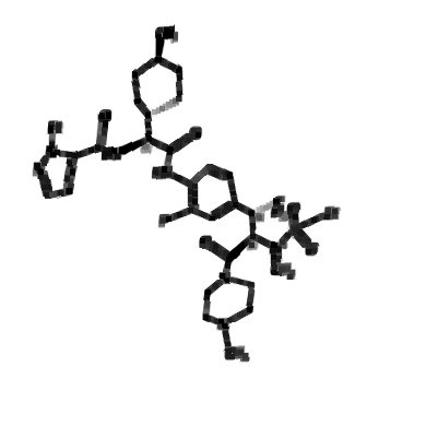 C=[N+]([C@@H](C(=O)N1CCN(C)CC1)[C@@H](C)c1ccc(NC(=O)[C@@H](NC(=O)c2ccnn2CC)[C@H]2CC[C@H](C)CC2)c(F)c1)S(=O)(=O)CC